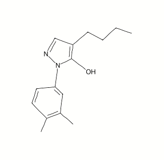 CCCCc1cnn(-c2ccc(C)c(C)c2)c1O